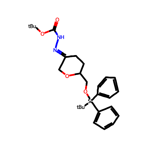 CC(C)(C)OC(=O)NN=C1CCC(CO[Si](c2ccccc2)(c2ccccc2)C(C)(C)C)OC1